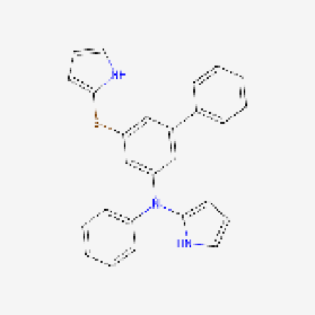 c1ccc(-c2cc(Sc3ccc[nH]3)cc(N(c3ccccc3)c3ccc[nH]3)c2)cc1